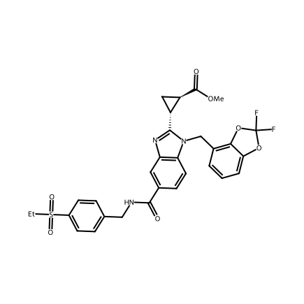 CCS(=O)(=O)c1ccc(CNC(=O)c2ccc3c(c2)nc([C@@H]2C[C@H]2C(=O)OC)n3Cc2cccc3c2OC(F)(F)O3)cc1